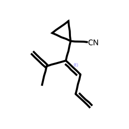 C=C/C=C(\C(=C)C)C1(C#N)CC1